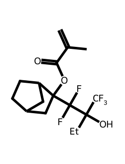 C=C(C)C(=O)OC1(C(F)(F)C(O)(CC)C(F)(F)F)CC2CCC1C2